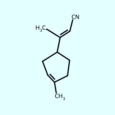 CC1=CCC(/C(C)=C/C#N)CC1